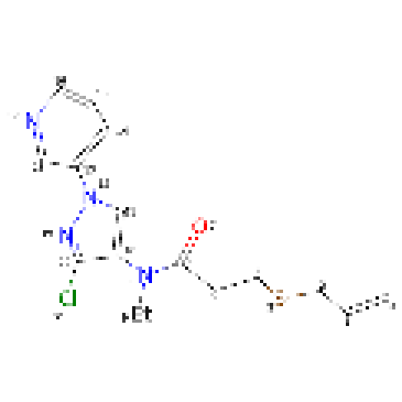 C=CCSCCC(=O)N(CC)c1cn(-c2cccnc2)nc1Cl